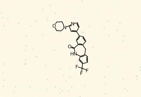 O=C1Nc2cc(C(F)(F)F)ccc2Cc2ccc(-c3ccnc(N4CCOCC4)c3)cc21